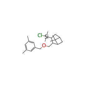 Cc1cc(C)cc(COCC2C3CC(CC2[Si](C)(C)Cl)C3(C)C)c1